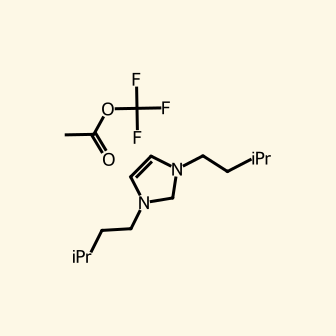 CC(=O)OC(F)(F)F.CC(C)CCN1C=CN(CCC(C)C)C1